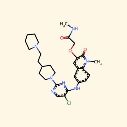 CNC(=O)COc1cc2cc(Nc3nc(N4CCC(CCN5CCCCC5)CC4)ncc3Cl)ccc2n(C)c1=O